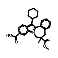 COC(=O)C1(F)Cc2ccccc2-c2c(C3CCCCC3)c3ccc(C(=O)O)cc3n2C1